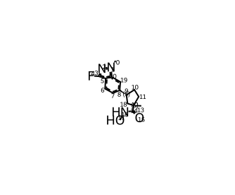 Cn1nc(F)c2ccc([C@H]3CC[C@](C)(C(=O)NO)C3)cc21